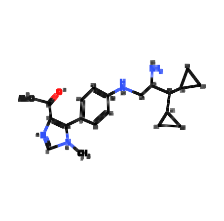 COC(=O)c1ncn(C)c1-c1ccc(NCC(N)C(C2CC2)C2CC2)cc1